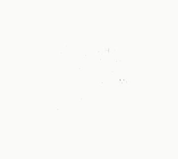 COC(=O)CC(C=O)c1cccc2sc3ccccc3c(=O)c12